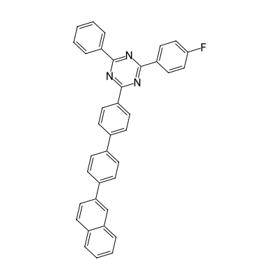 Fc1ccc(-c2nc(-c3ccccc3)nc(-c3ccc(-c4ccc(-c5ccc6ccccc6c5)cc4)cc3)n2)cc1